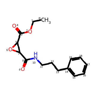 CCOC(=O)C1OC1C(=O)NCCCc1ccccc1